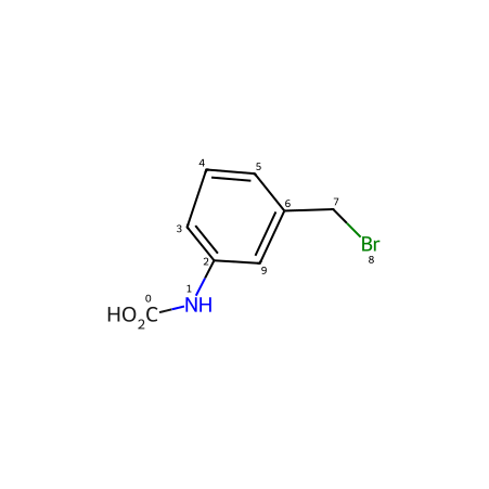 O=C(O)Nc1cccc(CBr)c1